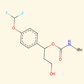 CC(C)(C)NC(=O)OC(CCO)c1ccc(OC(F)F)cc1